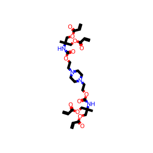 C=CC(=O)OCC(C)(COC(=O)C=C)NC(=O)OCCN1CCN(CCOC(=O)NC(C)(COC(=O)C=C)COC(=O)C=C)CC1